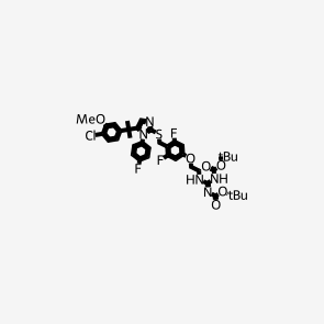 COc1cc(C(C)(C)c2cnc(SCc3c(F)cc(OCCNC(=NC(=O)OC(C)(C)C)NC(=O)OC(C)(C)C)cc3F)n2-c2ccc(F)cc2)ccc1Cl